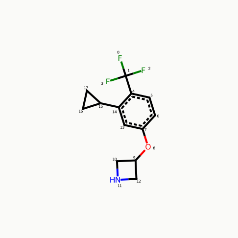 FC(F)(F)c1ccc(OC2CNC2)cc1C1CC1